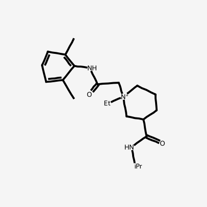 CC[N+]1(CC(=O)Nc2c(C)cccc2C)CCCC(C(=O)NC(C)C)C1